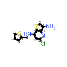 Nc1csc2c(NCc3cccs3)cc(Cl)nc12